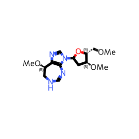 COC[C@H]1OC(n2cnc3c2N=CNC[C@H]3OC)C[C@@H]1OC